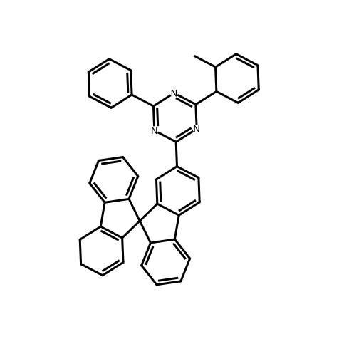 CC1C=CC=CC1c1nc(-c2ccccc2)nc(-c2ccc3c(c2)C2(C4=C(CCC=C4)c4ccccc42)c2ccccc2-3)n1